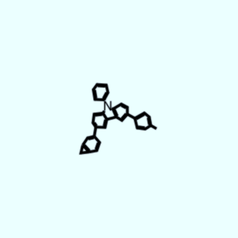 Cc1ccc(-c2ccc3c(c2)c2cc(-c4ccc5c(c4)C5)ccc2n3-c2ccccc2)cc1